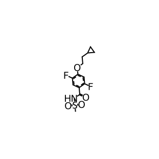 CS(=O)(=O)NC(=O)c1cc(F)c(OCCC2CC2)cc1F